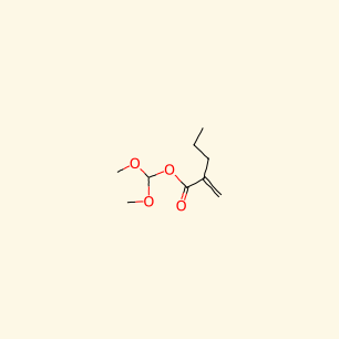 C=C(CCC)C(=O)OC(OC)OC